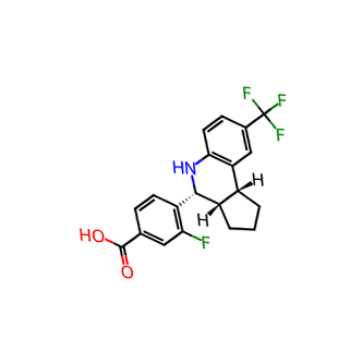 O=C(O)c1ccc([C@@H]2Nc3ccc(C(F)(F)F)cc3[C@@H]3CCC[C@@H]32)c(F)c1